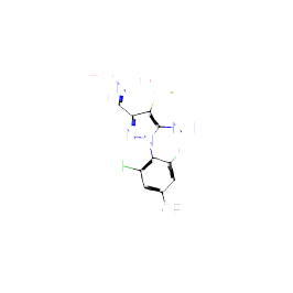 C[S+]([O-])c1c(/C=N/O)nn(-c2c(Cl)cc(C(F)(F)F)cc2Cl)c1N